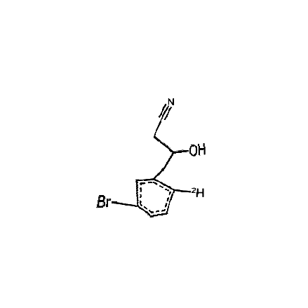 [2H]c1ccc(Br)cc1C(O)CC#N